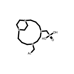 CC(=O)CN1CCCN2CCN(CCCN(CP(=O)(O)O)CC1)CC2